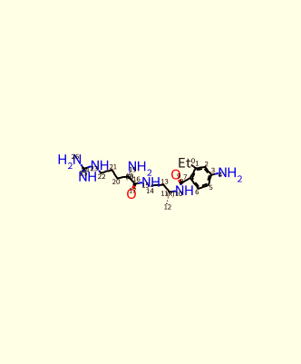 CCc1cc(N)ccc1C(=O)N[C@H](C)CCNC(=O)[C@@H](N)CCCNC(=N)N